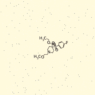 CCOC(=O)C1(S(=O)(=O)c2ccc(F)cc2)CCN(CCOC)CC1